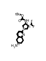 CC(C)(C)OC(=O)N[C@@H]1CN(c2ccc3c(n2)CC[C@H](N)C3)C[C@H]1C(F)F